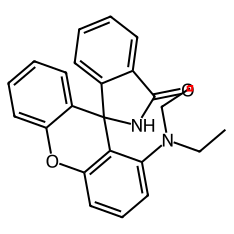 CCN(CC)c1cccc2c1C1(NC(=O)c3ccccc31)c1ccccc1O2